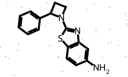 Nc1ccc2sc(N3CCC3c3ccccc3)nc2c1